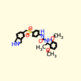 COc1cccc(OC)c1C(C)NC(=O)Nc1ccc(S(=O)(=O)Cc2ccc3c(c2)CNC3)cc1